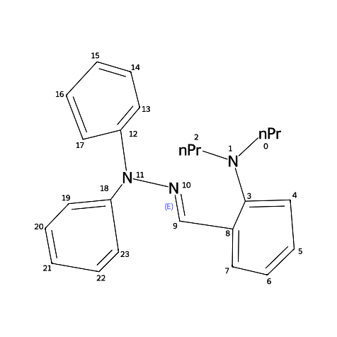 CCCN(CCC)c1ccccc1/C=N/N(c1ccccc1)c1ccccc1